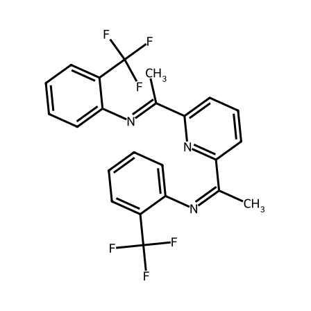 CC(=Nc1ccccc1C(F)(F)F)c1cccc(C(C)=Nc2ccccc2C(F)(F)F)n1